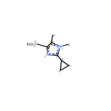 CCOC(=O)c1nc(C2CC2)n(C)c1C